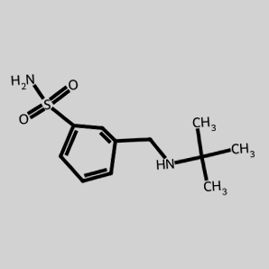 CC(C)(C)NCc1cccc(S(N)(=O)=O)c1